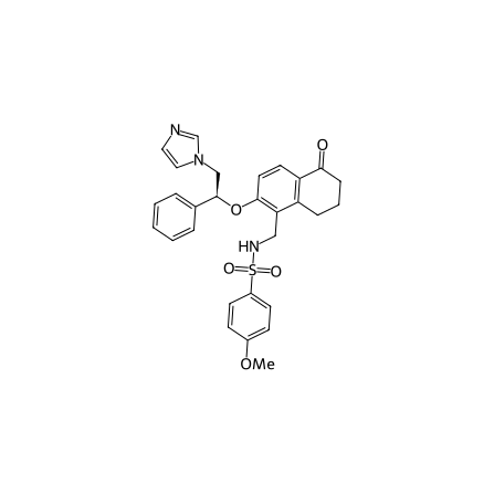 COc1ccc(S(=O)(=O)NCc2c(O[C@H](Cn3ccnc3)c3ccccc3)ccc3c2CCCC3=O)cc1